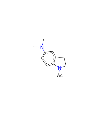 CC(=O)N1CCc2cc(N(C)C)ccc21